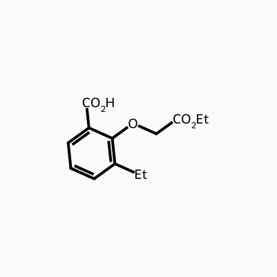 CCOC(=O)COc1c(CC)cccc1C(=O)O